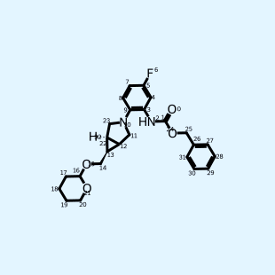 O=C(Nc1cc(F)ccc1N1CC2[C@@H](COC3CCCCO3)[C@H]2C1)OCc1ccccc1